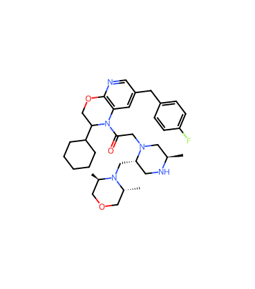 C[C@@H]1CN(CC(=O)N2c3cc(Cc4ccc(F)cc4)cnc3OCC2C2CCCCC2)[C@@H](CN2[C@H](C)COC[C@H]2C)CN1